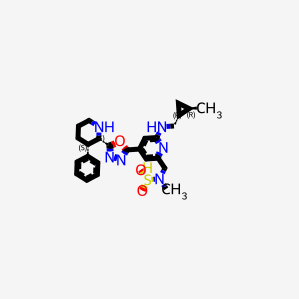 C[C@@H]1C[C@H]1CNc1cc(-c2nnc([C@H]3NCCC[C@H]3c3ccccc3)o2)cc(CN(C)[SH](=O)=O)n1